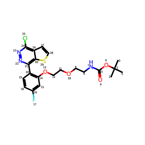 CC(C)(C)OC(=O)NCCOCCOc1cc(F)ccc1-c1nnc(Cl)c2ccsc12